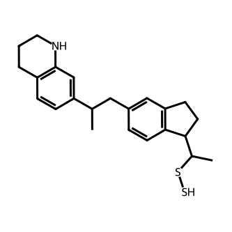 CC(Cc1ccc2c(c1)CCC2C(C)SS)c1ccc2c(c1)NCCC2